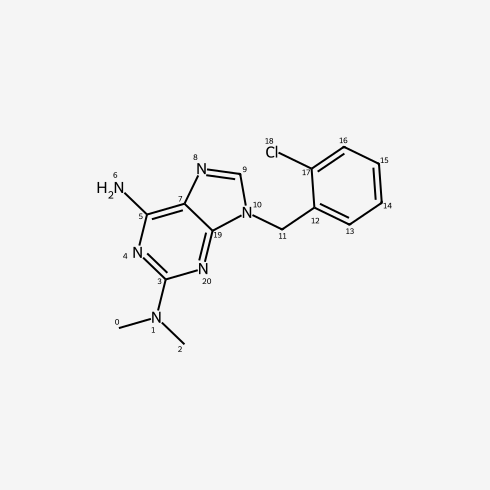 CN(C)c1nc(N)c2ncn(Cc3ccccc3Cl)c2n1